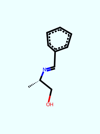 C[C@@H](CO)N=Cc1ccccc1